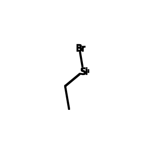 CC[Si]Br